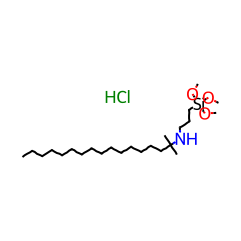 CCCCCCCCCCCCCCCC(C)(C)NCCC[Si](OC)(OC)OC.Cl